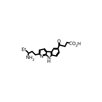 CCC(N)CCc1ccc2c(n1)[nH]c1ccc(C(=O)CCC(=O)O)cc12